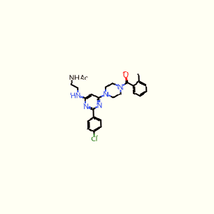 CC(=O)NCCNc1cc(N2CCN(C(=O)c3ccccc3C)CC2)nc(-c2ccc(Cl)cc2)n1